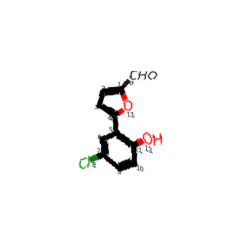 O=Cc1ccc(-c2cc(Cl)ccc2O)o1